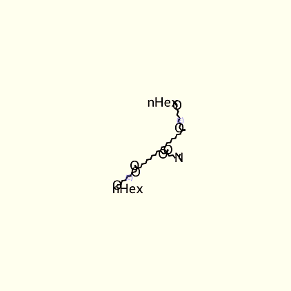 C=C(CCCCCCCCC(CCCCCCCCC(=O)OC/C=C/CCCOCCCCCC)OC(=O)CCCN(C)C)OC/C=C/CCCOCCCCCC